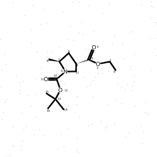 CCOC(=O)[C@H]1C[C@H](C)N(C(=O)OC(C)(C)C)C1